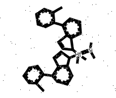 Cc1ccccc1-c1cccc2c1C=C[CH]2[Hf]([CH3])([CH3])([CH]1C=Cc2c(-c3ccccc3C)cccc21)=[Si](C)C